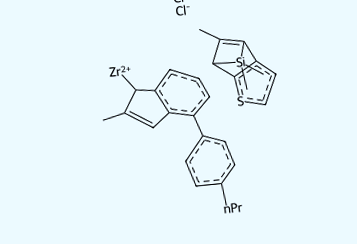 CC1=C2c3ccsc3C1[Si]2(C)C.CCCc1ccc(-c2cccc3c2C=C(C)[CH]3[Zr+2])cc1.[Cl-].[Cl-]